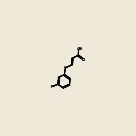 O=C(O)/C=C/Sc1cccc(F)c1